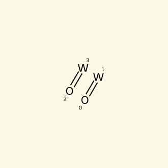 [O]=[W].[O]=[W]